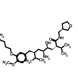 COCCCOc1cc(C[C@@H](C[C@H](N)[C@@H](O)C[C@H](C(=O)NC[C@H]2CCOC2)C(C)C)C(C)C)ccc1OC